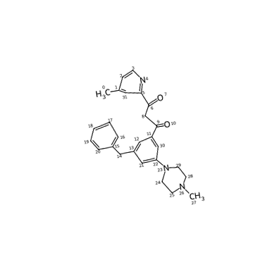 Cc1ccnc(C(=O)CC(=O)c2cc(Cc3ccccc3)cc(N3CCN(C)CC3)c2)c1